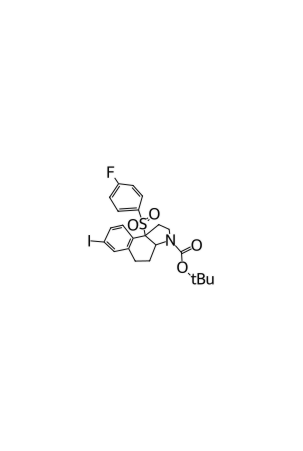 CC(C)(C)OC(=O)N1CCC2(S(=O)(=O)c3ccc(F)cc3)c3ccc(I)cc3CCC12